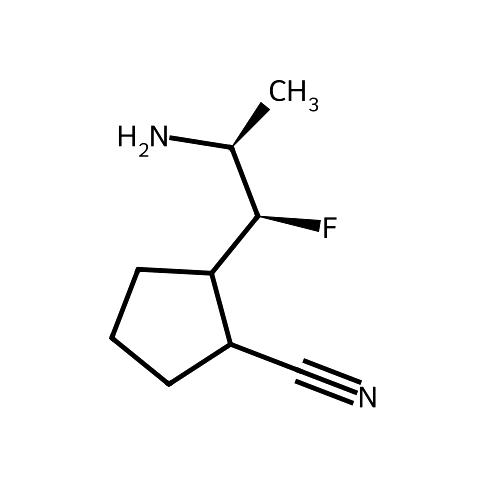 C[C@H](N)[C@@H](F)C1CCCC1C#N